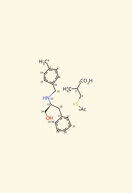 CC(=O)SCC(C)C(=O)O.Cc1ccc(CN[C@H](CO)Cc2ccccc2)cc1